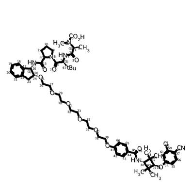 C[C@@H](C(=O)N[C@H](C(=O)N1CCCC1C(=O)N[C@H]1c2ccccc2C[C@H]1OCCOCCOCCOCCOCCOc1ccc(C(=O)N[C@H]2C(C)(C)[C@H](Oc3ccc(C#N)c(Cl)c3)C2(C)C)cc1)C(C)(C)C)N(C)C(=O)O